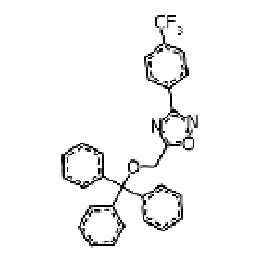 FC(F)(F)c1ccc(-c2noc(COC(c3ccccc3)(c3ccccc3)c3ccccc3)n2)cc1